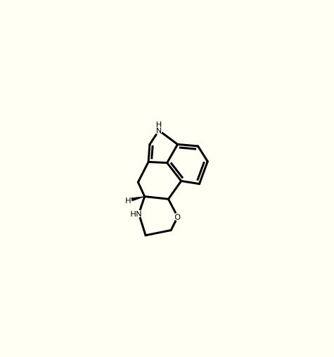 c1cc2c3c(c[nH]c3c1)C[C@H]1NCCOC21